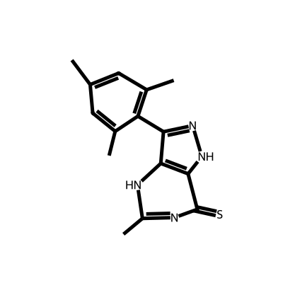 Cc1cc(C)c(-c2n[nH]c3c(=S)nc(C)[nH]c23)c(C)c1